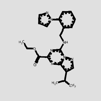 CCOC(=O)c1nc(NCc2ccccc2-n2cccn2)n2ncc(C(C)C)c2n1